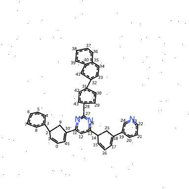 C1=CC(c2ccccc2)CC(c2cc(C3C=CC=C(c4cccnc4)C3)nc(-c3ccc(-c4ccc5ccccc5c4)cc3)n2)=C1